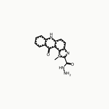 Cn1c(C(=O)NN)nc2ccc3[nH]c4ccccc4c(=O)c3c21